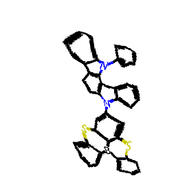 c1ccc(-n2c3ccccc3c3ccc4c(c5ccccc5n4-c4cc5c6c(c4)Sc4ccccc4B6c4ccccc4S5)c32)cc1